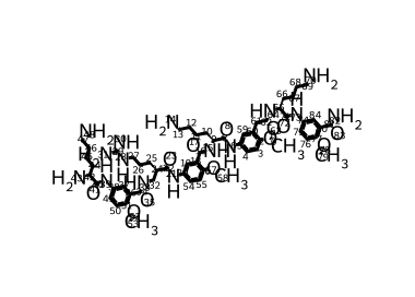 COc1ccc(NC(=O)[C@H](CCCCN)NC(=O)c2cc(NC(=O)[C@H](CCCNC(=N)N)CNC(=O)c3cc(NC(=O)[C@@H](N)CCCCN)ccc3OC)ccc2OC)cc1CC(=O)N[C@@H](CCCCN)C(=O)Nc1ccc(OC)c(C(N)=O)c1